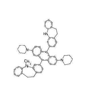 CN1c2ccccc2CCc2ccc(-c3c4ccc(N5CCCCC5)cc4c(-c4ccc5c(c4)Nc4ccccc4CC5)c4ccc(N5CCCCC5)cc34)cc21